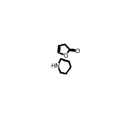 C1CCNCC1.O=C1CC=CO1